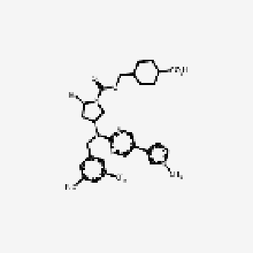 CC[C@@H]1C[C@H](N(Cc2cc(C(F)(F)F)cc(C(F)(F)F)c2)c2ncc(-c3cnn(C)c3)cn2)CN1C(=O)OCC1CCC(C(=O)O)CC1